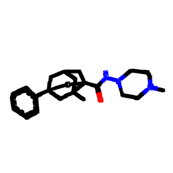 CN1CCN(NC(=O)C23CC4CC(c5ccccc5)(CC2(C)C4)C3)CC1